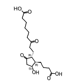 O=C(O)CCCCCC(=O)CC[C@H]1C(=O)C[C@H](O)[C@@H]1CCCC(=O)O